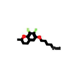 CCCC(C)CCCCOc1cc2c(c(F)c1F)OC(C)CC2